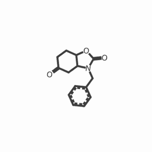 O=C1CCC2OC(=O)N(Cc3ccccc3)C2C1